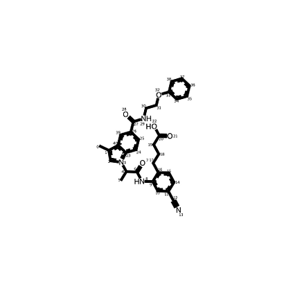 Cc1cn(C(C)C(=O)Nc2cc(C#N)ccc2CCCC(=O)O)c2ccc(C(=O)NCCOc3ccccc3)cc12